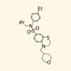 CCc1ccc(N(CC(C)C)S(=O)(=O)c2ccc3c(c2)SCCN3CC2CCOCC2)cc1